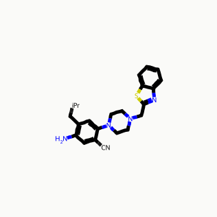 CC(C)Cc1cc(N2CCN(Cc3nc4ccccc4s3)CC2)c(C#N)cc1N